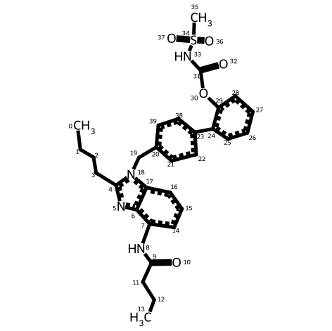 CCCCc1nc2c(NC(=O)CCC)cccc2n1Cc1ccc(-c2ccccc2OC(=O)NS(C)(=O)=O)cc1